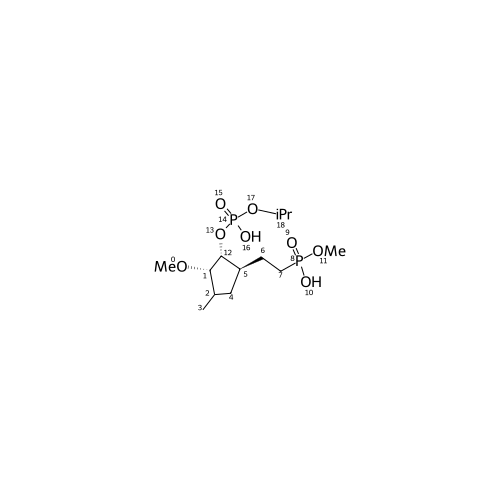 CO[C@H]1C(C)C[C@H](CCP(=O)(O)OC)[C@H]1OP(=O)(O)OC(C)C